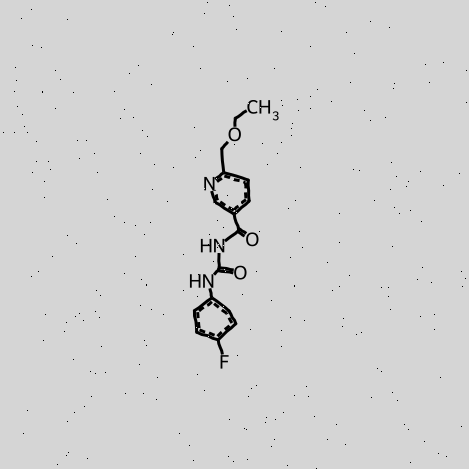 CCOCc1ccc(C(=O)NC(=O)Nc2ccc(F)cc2)cn1